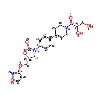 O=C([C@H](O)CO)N1CC=C(c2ccc(N3C[C@H](COc4ccon4)OC3=O)cc2)CC1